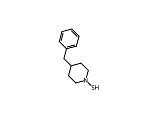 SN1CCC(Cc2ccccc2)CC1